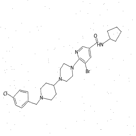 O=C(NC1CCCC1)c1cnc(N2CCN(C3CCN(Cc4ccc(Cl)cc4)CC3)CC2)c(Br)c1